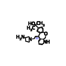 CC(C)(O)c1ccc2c(c1)/C(=C/CN1CCC(N)C1)C1=CC=CNC1CO2